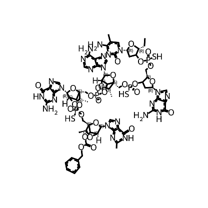 CC[C@H]1O[C@@H](n2cc(C)c(N)nc2=O)CC1OP(=O)(S)OC[C@H]1O[C@@H](n2cnc3c(=O)[nH]c(N)nc32)CC1OP(=O)(S)OC[C@]12O[C@@H](n3cnc4c(N)ncnc43)[C@@H](O[C@H]1C)C2OP(=O)(O)OC[C@]12O[C@@H](n3cnc4c(=O)[nH]c(N)nc43)[C@@H](O[C@H]1C)C2OP(=O)(S)OC[C@]12O[C@@H](n3cnc4c(=O)[nH]c(C)nc43)[C@@H](O[C@H]1C)C2OC(=O)OCc1ccccc1